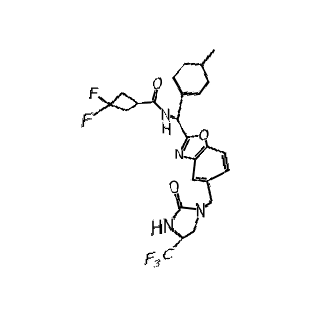 CC1CCC([C@H](NC(=O)C2CC(F)(F)C2)c2nc3cc(CN4C[C@@H](C(F)(F)F)NC4=O)ccc3o2)CC1